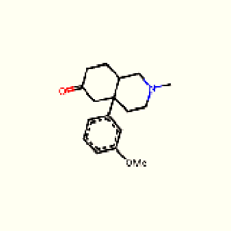 COc1cccc(C23CCN(C)CC2CCC(=O)C3)c1